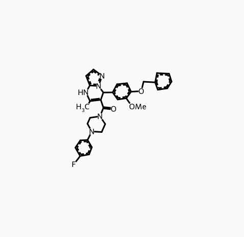 COc1cc(C2C(C(=O)N3CCN(c4ccc(F)cc4)CC3)=C(C)Nc3ccnn32)ccc1OCc1ccccc1